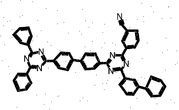 N#Cc1cccc(-c2nc(-c3ccc(-c4ccc(-c5nc(-c6ccccc6)nc(-c6ccccc6)n5)cc4)cc3)nc(-c3cccc(-c4ccccc4)c3)n2)c1